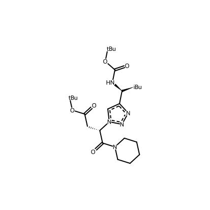 CC[C@H](C)[C@H](NC(=O)OC(C)(C)C)c1cn([C@@H](CC(=O)OC(C)(C)C)C(=O)N2CCCCC2)nn1